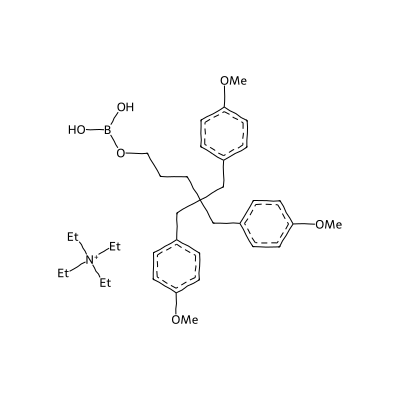 CC[N+](CC)(CC)CC.COc1ccc(CC(CCCOB(O)O)(Cc2ccc(OC)cc2)Cc2ccc(OC)cc2)cc1